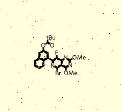 COc1nc(OC)c2c(Br)nc(-c3cc(OC(=O)C(C)(C)C)cc4ccccc34)c(F)c2n1